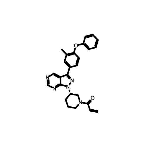 C=CC(=O)N1CCC[C@H](n2nc(-c3ccc(Oc4ccccc4)c(C)c3)c3cncnc32)C1